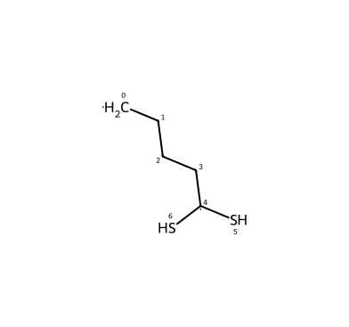 [CH2]CCC[C](S)S